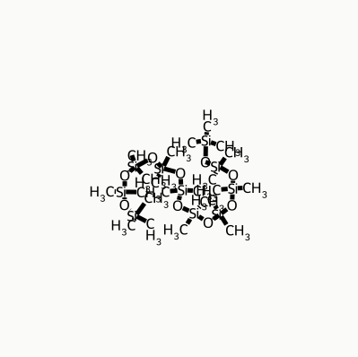 C[Si](C)(C)O[Si](C)(C)O[Si](C)(C)O[Si](C)(C)O[Si](C)(C)O[Si](C)(C)O[Si](C)(C)O[Si](C)(C)O[Si](C)(C)O[Si](C)(C)C